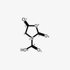 O=C1CN(C(=O)O)C(=O)O1